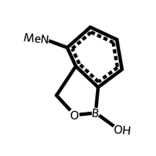 CNc1cccc2c1COB2O